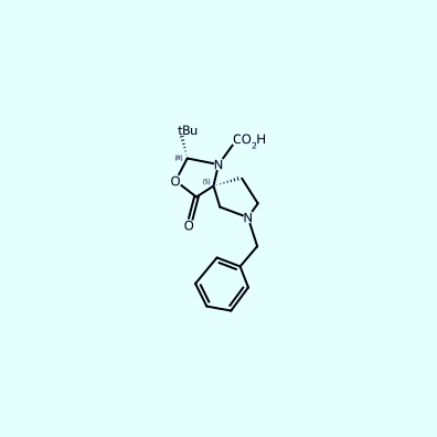 CC(C)(C)[C@H]1OC(=O)[C@@]2(CCN(Cc3ccccc3)C2)N1C(=O)O